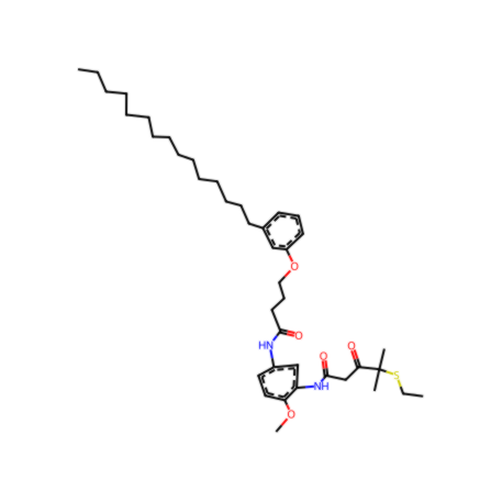 CCCCCCCCCCCCCCCc1cccc(OCCCC(=O)Nc2ccc(OC)c(NC(=O)CC(=O)C(C)(C)SCC)c2)c1